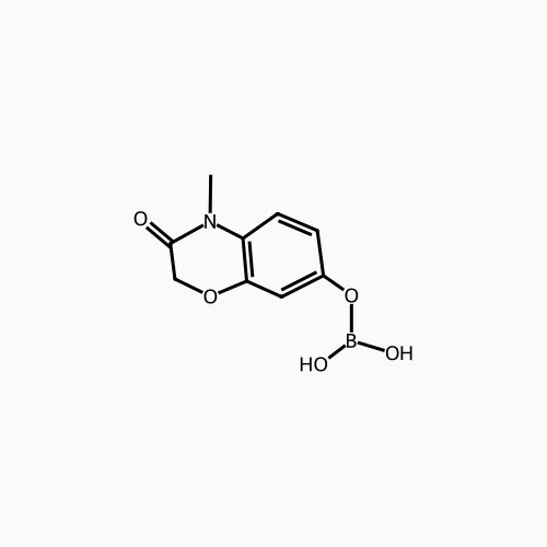 CN1C(=O)COc2cc(OB(O)O)ccc21